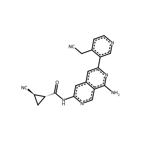 N#CCc1ccncc1-c1cc2cc(NC(=O)[C@@H]3C[C@H]3C#N)ncc2c(N)n1